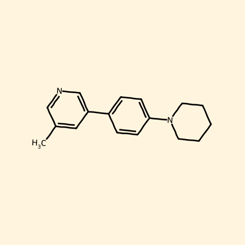 Cc1cncc(-c2ccc(N3CCCCC3)cc2)c1